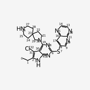 CCc1[nH]c2nc(Sc3cnc4nccnc4c3)nc(N3CCC4(CCNCC4)C3)c2c1Cl